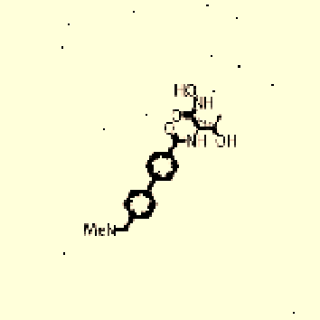 CNCc1ccc(-c2ccc(C(=O)N[C@H](C(=O)NO)[C@@H](C)O)cc2)cc1